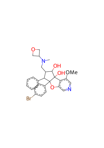 COc1cncc2c1C1(O)C(O)C(CN(C)C3COC3)C(c3ccccc3)C1(c1ccc(Br)cc1)O2